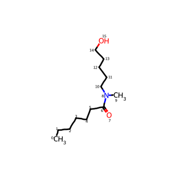 CCCCCCC(=O)N(C)CCCCCO